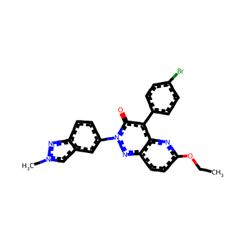 CCOc1ccc2nn(-c3ccc4nn(C)cc4c3)c(=O)c(-c3ccc(Br)cc3)c2n1